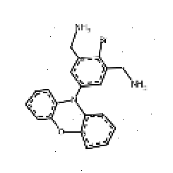 NCc1cc(N2c3ccccc3Oc3ccccc32)cc(CN)c1Br